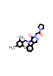 Cc1cc(C)c(Cn2c3ccccc3c3cnn(CC(=O)N4CCCC4)c(=O)c32)c(C)c1